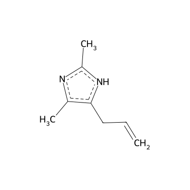 C=CCc1[nH]c(C)nc1C